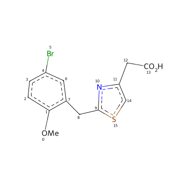 COc1ccc(Br)cc1Cc1nc(CC(=O)O)cs1